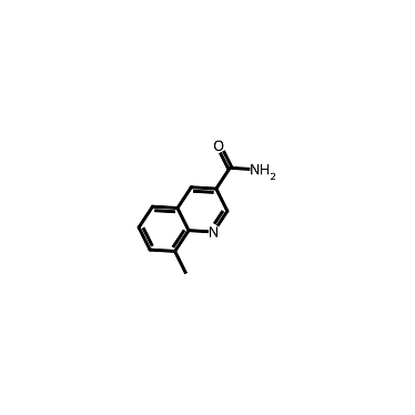 Cc1cccc2cc(C(N)=O)cnc12